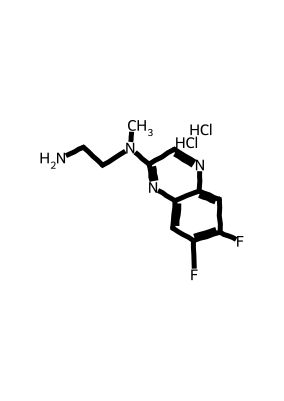 CN(CCN)c1cnc2cc(F)c(F)cc2n1.Cl.Cl